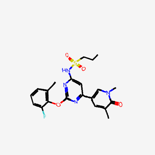 CCCS(=O)(=O)Nc1cc(-c2cc(C)c(=O)n(C)c2)nc(Oc2c(C)cccc2F)n1